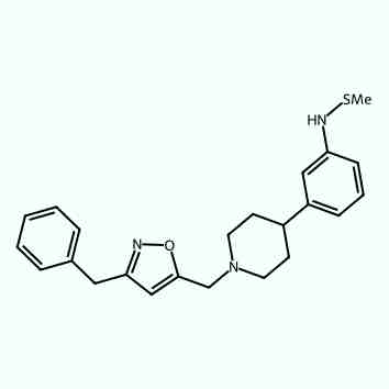 CSNc1cccc(C2CCN(Cc3cc(Cc4ccccc4)no3)CC2)c1